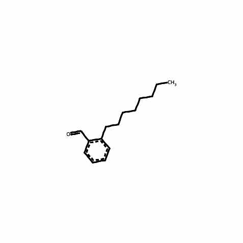 CCCCCCCCc1ccccc1[C]=O